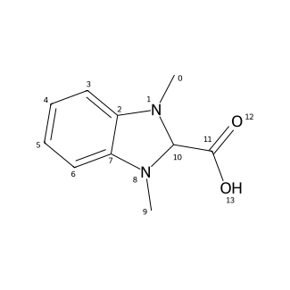 CN1c2ccccc2N(C)C1C(=O)O